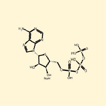 Nc1ncnc2c1ncn2[C@@H]1S[C@H](COP(=O)(O)OP(=O)(O)OP(=O)(O)O)[C@@H](O)[C@H]1O.[NaH]